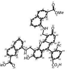 COC(=O)c1ccc2cccc(NCc3c4oc5c(CNc6cccc7ccc(C(=O)OC)nc67)c(O)ccc5c(-c5cc(C(=O)O)ccc5C(C)=O)c-4ccc3=O)c2n1